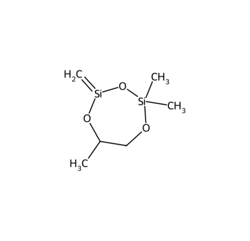 C=[Si]1OC(C)CO[Si](C)(C)O1